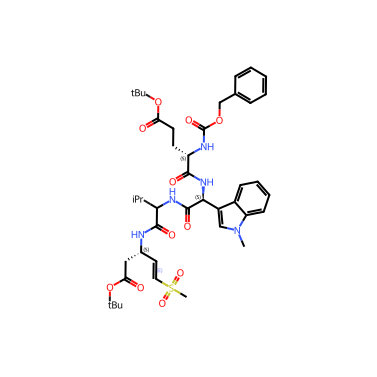 CC(C)C(NC(=O)[C@@H](NC(=O)[C@H](CCC(=O)OC(C)(C)C)NC(=O)OCc1ccccc1)c1cn(C)c2ccccc12)C(=O)N[C@H](/C=C/S(C)(=O)=O)CC(=O)OC(C)(C)C